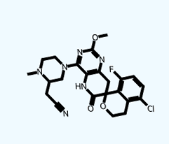 COc1nc2c(c(N3CCN(C)C(CC#N)C3)n1)NC(=O)C1(C2)OCCc2c(Cl)ccc(F)c21